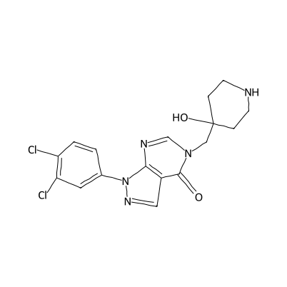 O=c1c2cnn(-c3ccc(Cl)c(Cl)c3)c2ncn1CC1(O)CCNCC1